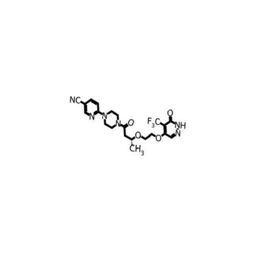 C[C@H](CC(=O)N1CCN(c2ccc(C#N)cn2)CC1)OCCOc1cn[nH]c(=O)c1C(F)(F)F